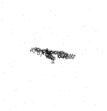 COc1ncc(CN2CCN(C3CC4(CCN(c5ccc(C(=O)NS(=O)(=O)c6ccc(NC[C@H]7CC[C@](C)(O)CC7)c([N+](=O)[O-])c6)c(N6c7cc8cc[nH]c8nc7O[C@H]7COCC[C@@H]76)c5)CC4)C3)[C@@H](c3ccccc3OC(C)C)C2)nc1OC